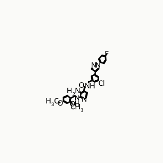 COc1ccc(CNc2nccc(C(=O)NCc3cc(Cl)cc(-c4cnn(-c5ccc(F)cc5)c4)c3)c2N)c(OC)c1